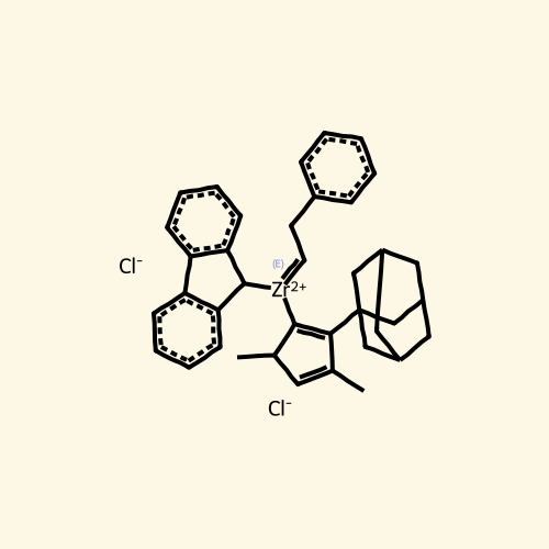 CC1=CC(C)[C](/[Zr+2](=[CH]/Cc2ccccc2)[CH]2c3ccccc3-c3ccccc32)=C1C12CC3CC(CC(C3)C1)C2.[Cl-].[Cl-]